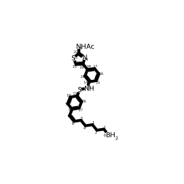 BCCCCC/C=C\c1ccc(SNc2cccc(-c3csc(NC(C)=O)n3)c2)cc1